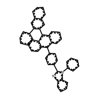 c1ccc(-c2cc3ccccc3cc2-c2c3ccccc3c(-c3ccc(-c4nc5ccccc5n4-c4ccccc4)cc3)c3ccccc23)cc1